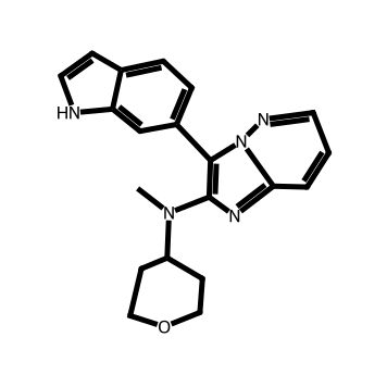 CN(c1nc2cccnn2c1-c1ccc2cc[nH]c2c1)C1CCOCC1